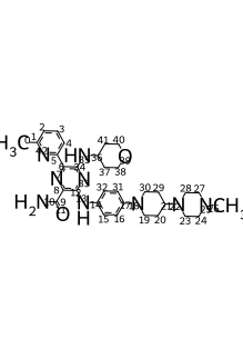 Cc1cccc(-c2nc(C(N)=O)c(Nc3ccc(N4CCC(N5CCN(C)CC5)CC4)cc3)nc2NC2CCOCC2)n1